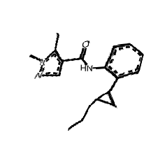 CCCC1CC1c1ccccc1NC(=O)c1cnn(C)c1C